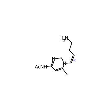 CC(=O)NC1=NCN(/C=C\CCN)C(C)=C1